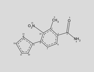 Cc1c(C(N)=O)ccc(-c2cccs2)c1[N+](=O)[O-]